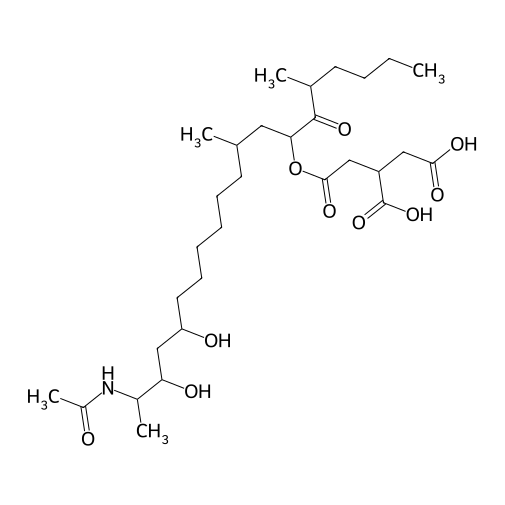 CCCCC(C)C(=O)C(CC(C)CCCCCCC(O)CC(O)C(C)NC(C)=O)OC(=O)CC(CC(=O)O)C(=O)O